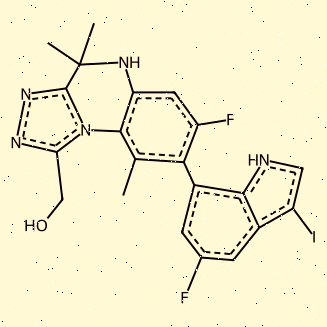 Cc1c(-c2cc(F)cc3c(I)c[nH]c23)c(F)cc2c1-n1c(CO)nnc1C(C)(C)N2